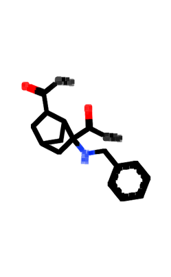 COC(=O)C1CC2CC1C(NCc1ccccc1)(C(=O)OC)C2